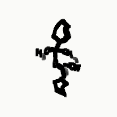 CC(C)(O[C@H](O)N1CCCC1)C1CCCCC1